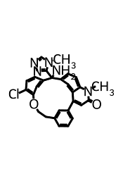 Cn1cnnc1C1(N)c2ccc(Cl)c(c2)OCCc2cccc(c2)-c2cc(=O)n(C)c3ccc1cc23